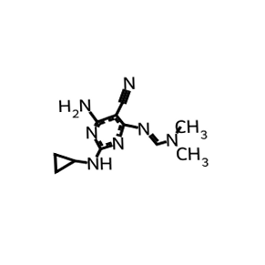 CN(C)C=Nc1nc(NC2CC2)nc(N)c1C#N